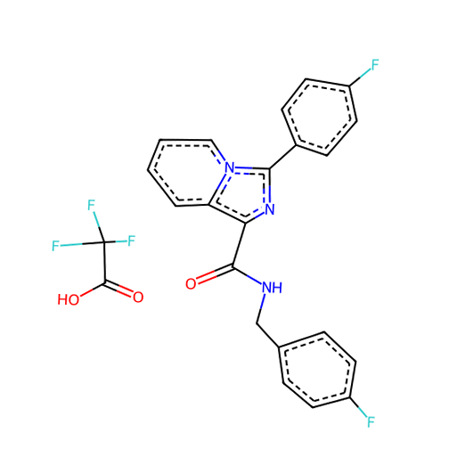 O=C(NCc1ccc(F)cc1)c1nc(-c2ccc(F)cc2)n2ccccc12.O=C(O)C(F)(F)F